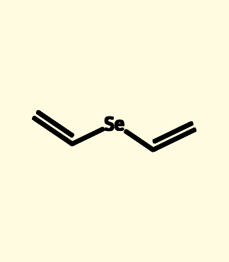 C=C[Se]C=C